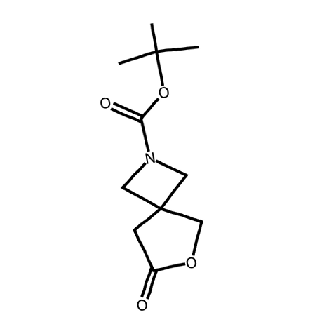 CC(C)(C)OC(=O)N1CC2(COC(=O)C2)C1